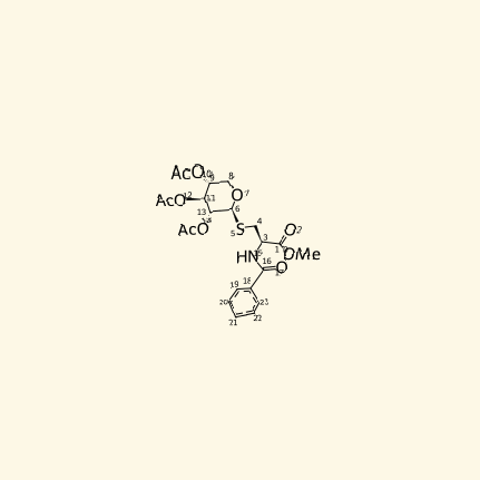 COC(=O)[C@H](CS[C@@H]1OC[C@@H](OC(C)=O)[C@H](OC(C)=O)[C@H]1OC(C)=O)NC(=O)c1ccccc1